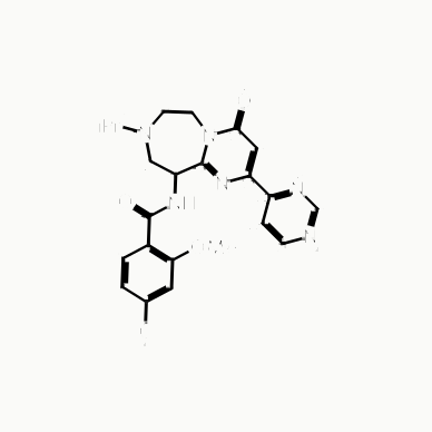 COc1cc(Cl)ccc1C(=O)NC1CN(C(C)C)CCn2c1nc(-c1ccncn1)cc2=O